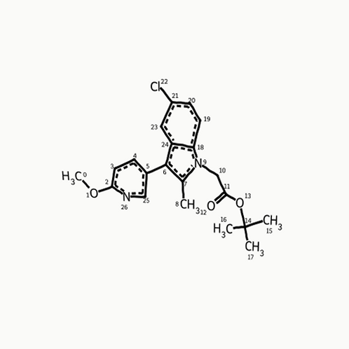 COc1ccc(-c2c(C)n(CC(=O)OC(C)(C)C)c3ccc(Cl)cc23)cn1